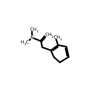 C=C(CC1=C(C)C=CCC1)N(C)C